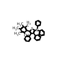 Cc1c(C)c(C)c(-c2sc(N(c3ccccc3)c3ccccc3)c(-c3ccccc3)c2-c2ccccc2)c(C)c1C